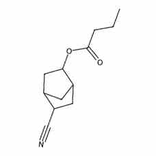 CCCC(=O)OC1CC2CC1CC2C#N